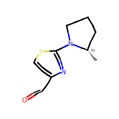 C[C@H]1CCCN1c1nc(C=O)cs1